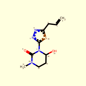 C=CCc1nnc(N2C(=O)N(C)CCC2O)s1